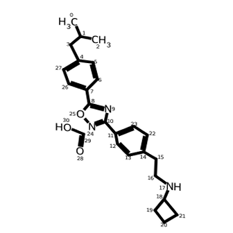 CC(C)Cc1ccc(-c2nc(-c3ccc(CCNC4CCC4)cc3)no2)cc1.O=CO